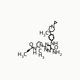 CC#CC(=O)N[C@@H]1CCCN(c2nnc(C(N)=O)c(Nc3ccc(C4(C)CCN(C5CC5)CC4)cc3)n2)[C@@H]1C